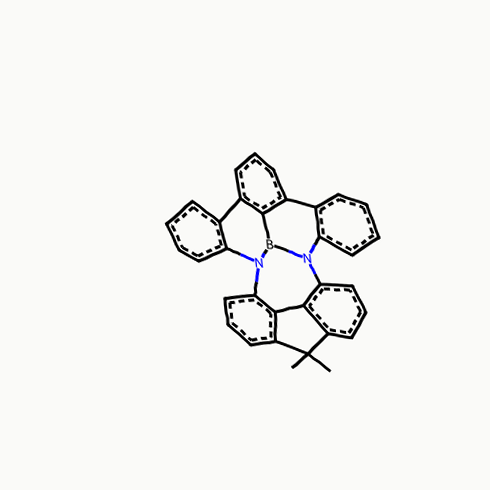 CC1(C)c2cccc3c2-c2c(cccc21)N1B2c4c(cccc4-c4ccccc41)-c1ccccc1N23